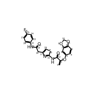 C=C(Oc1ccc2c(c1)OCO2)C(=O)Nc1nc(CC(=O)Nc2ccc(F)cc2)cs1